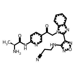 C[C@H](N)C(=O)Nc1ccc(C(=O)Cn2c(-c3nonc3NCCC#N)nc3ccccc32)cn1